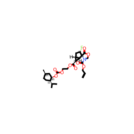 C=CCOC(=O)N1COC(=O)[C@]12[C@H]1[C@@H](C[C@@H]2F)[C@@H]1C(=O)OCCOC(=O)O[C@@H]1C[C@H](C)CC[C@H]1C(C)C